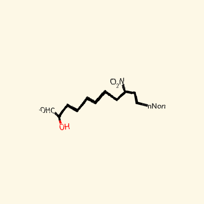 CCCCCCCCCCCC(CCCCCCC(O)[C]=O)[N+](=O)[O-]